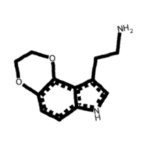 NCCc1c[nH]c2ccc3c(c12)OCCO3